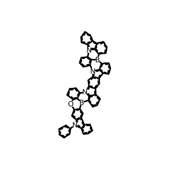 c1ccc(-n2c3ccccc3c3cc4c(cc32)Oc2cccc3c2B4c2cccc4c5cc6c7cccc8c7n(c6cc5n-3c24)-c2cccc3c2B8c2cccc4c5ccccc5n-3c24)cc1